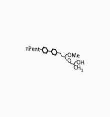 C=C(CO)COCC(CCc1ccc(-c2ccc(CCCCC)cc2)cc1)COC